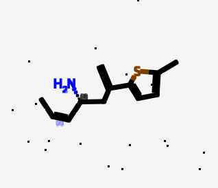 C=C(C[C@@H](N)/C=C\C)c1ccc(C)s1